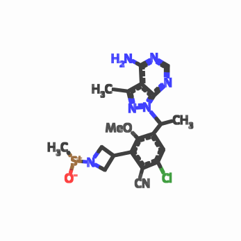 COc1c(C(C)n2nc(C)c3c(N)ncnc32)cc(Cl)c(C#N)c1C1CN([S+](C)[O-])C1